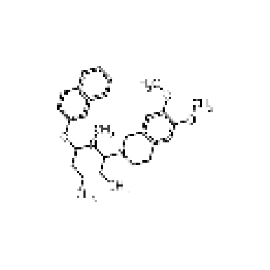 CCCC(Oc1ccc2ccccc2c1)N(C)C(CC)N1CCc2cc(OC)c(OC)cc2C1